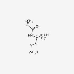 C=CC(=O)NC(C)CCS(=O)(=O)O.[LiH]